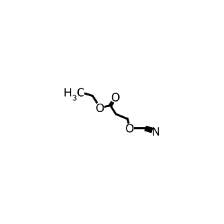 CCOC(=O)CCOC#N